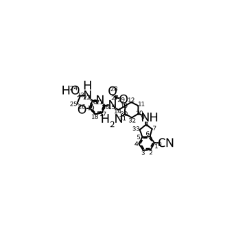 N#Cc1cccc2c1CC(NC1CCC3(CN(c4ccc5c(n4)NC(O)CO5)C(=O)O3)C(N)C1)C2